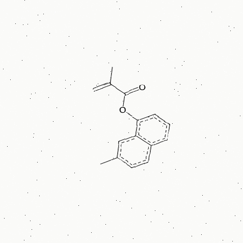 C=C(C)C(=O)Oc1cccc2ccc(C)cc12